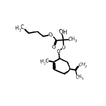 C=C(C)C1CC=C(C)C(OOC(C)(O)C(=O)OCCCC)C1